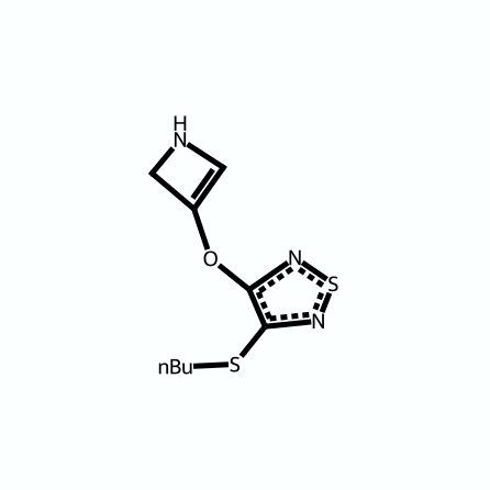 CCCCSc1nsnc1OC1=CNC1